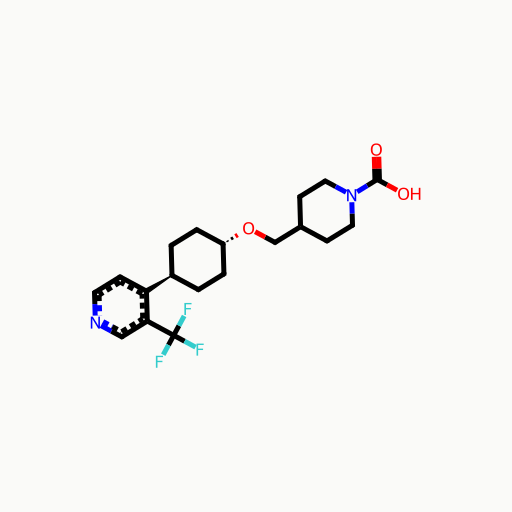 O=C(O)N1CCC(CO[C@H]2CC[C@H](c3ccncc3C(F)(F)F)CC2)CC1